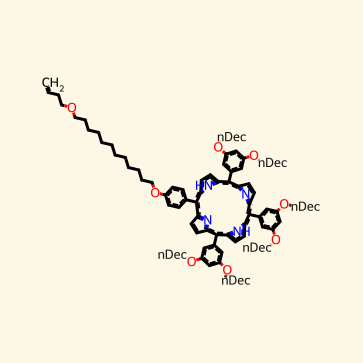 C=CCCOCCCCCCCCCCCCOc1ccc(-c2c3nc(c(-c4cc(OCCCCCCCCCC)cc(OCCCCCCCCCC)c4)c4ccc([nH]4)c(-c4cc(OCCCCCCCCCC)cc(OCCCCCCCCCC)c4)c4nc(c(-c5cc(OCCCCCCCCCC)cc(OCCCCCCCCCC)c5)c5ccc2[nH]5)C=C4)C=C3)cc1